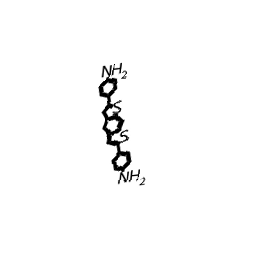 Nc1ccc(-c2cc3cc4cc(-c5ccc(N)cc5)sc4cc3s2)cc1